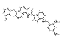 COc1ccc(CNc2ncnc3c(C(=O)Nc4c(C)ccc5c(Cc6cccc(Cl)c6)nccc45)csc23)c(OC)c1